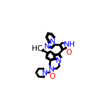 C#Cc1cc2c3c(c1)c(C1=C(c4cnc5ccccn45)CNC1=O)cn3CCN(C(=O)N1CCCCC1)C2